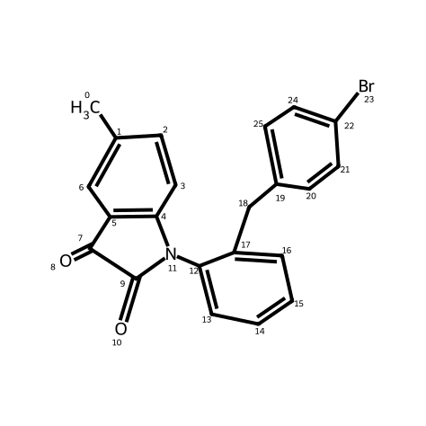 Cc1ccc2c(c1)C(=O)C(=O)N2c1ccccc1Cc1ccc(Br)cc1